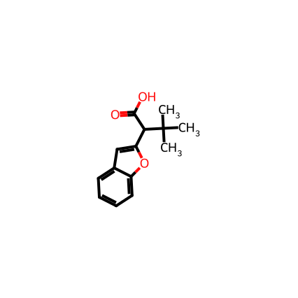 CC(C)(C)C(C(=O)O)c1cc2ccccc2o1